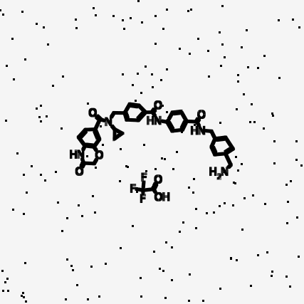 NCc1ccc(CNC(=O)c2ccc(NC(=O)c3ccc(CN(C(=O)c4ccc5c(c4)OCC(=O)N5)C4CC4)cc3)cc2)cc1.O=C(O)C(F)(F)F